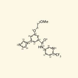 COCCOc1cc(C(=O)Nc2ccc(C(F)(F)F)nc2)cc(-n2ccnc2)c1